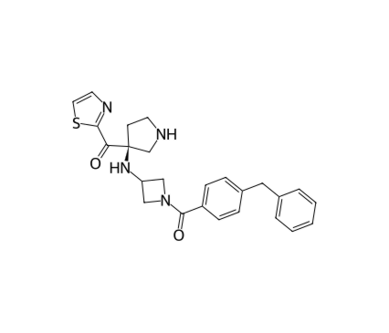 O=C(c1ccc(Cc2ccccc2)cc1)N1CC(N[C@@]2(C(=O)c3nccs3)CCNC2)C1